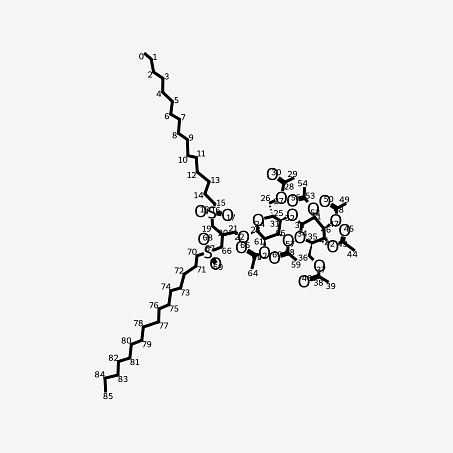 CCCCCCCCCCCCCCCCS(=O)(=O)CC(CO[C@@H]1O[C@H](COC(C)=O)[C@@H](O[C@@H]2O[C@H](COC(C)=O)[C@H](OC(C)=O)[C@H](OC(C)=O)[C@H]2OC(C)=O)[C@H](OC(C)=O)[C@H]1OC(C)=O)CS(=O)(=O)CCCCCCCCCCCCCCCC